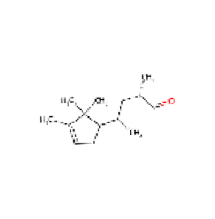 CC1=CCC([C@@H](C)C[C@H](C)C=O)C1(C)C